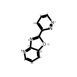 c1cnnc(-c2nc3ncccc3o2)c1